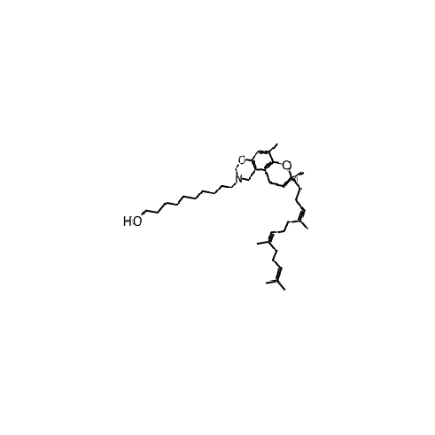 CC(C)=CCCC(C)=CCCC(C)=CCC[C@]1(C)CCc2c3c(cc(C)c2O1)OCN(CCCCCCCCCCO)C3